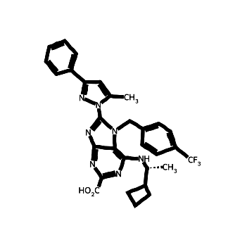 Cc1cc(-c2ccccc2)nn1-c1nc2nc(C(=O)O)nc(N[C@H](C)C3CCC3)c2n1Cc1ccc(C(F)(F)F)cc1